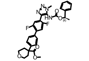 COC(=O)C1(c2ccc(-c3cc(F)c(-c4nnn(C)c4NC(=O)O[C@H](C)c4ccccc4)cc3F)cc2)CCOCC1